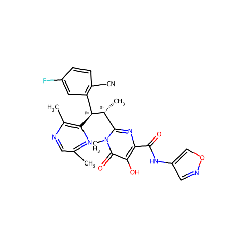 Cc1cnc(C)c([C@@H](c2cc(F)ccc2C#N)[C@H](C)c2nc(C(=O)Nc3cnoc3)c(O)c(=O)n2C)n1